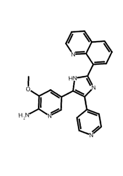 COc1cc(-c2[nH]c(-c3cccc4cccnc34)nc2-c2ccncc2)cnc1N